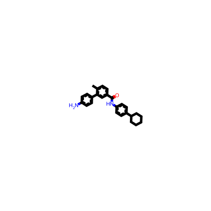 Cc1ccc(C(=O)Nc2ccc(C3CCCCC3)cc2)cc1-c1ccc(N)cc1